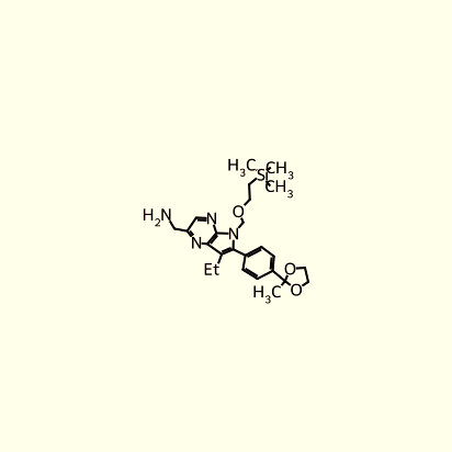 CCc1c(-c2ccc(C3(C)OCCO3)cc2)n(COCC[Si](C)(C)C)c2ncc(CN)nc12